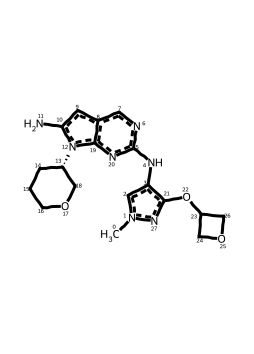 Cn1cc(Nc2ncc3cc(N)n([C@H]4CCCOC4)c3n2)c(OC2COC2)n1